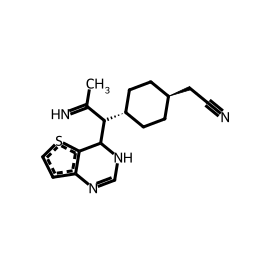 CC(=N)C(C1NC=Nc2ccsc21)[C@H]1CC[C@H](CC#N)CC1